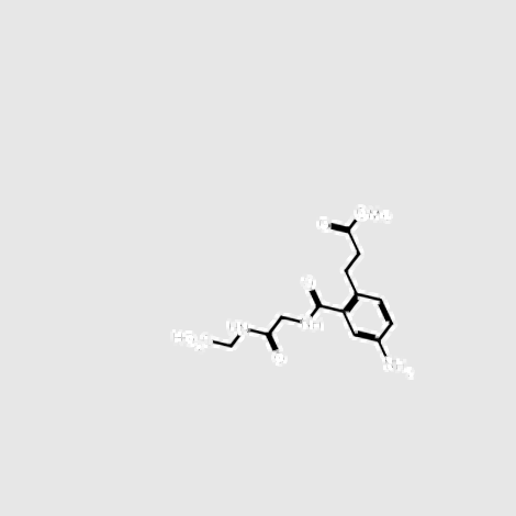 COC(=O)CCc1ccc(N)cc1C(=O)NCC(=O)NCC(=O)O